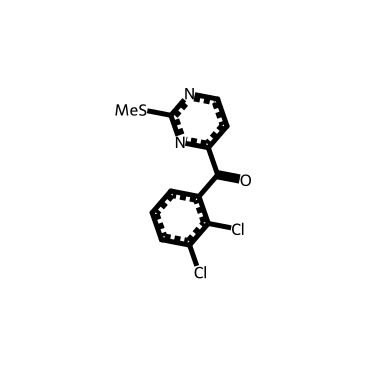 CSc1nccc(C(=O)c2cccc(Cl)c2Cl)n1